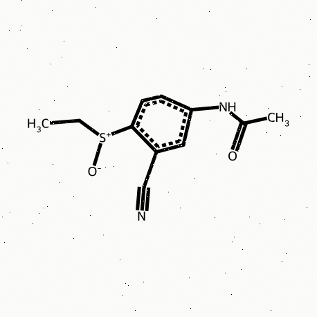 CC[S+]([O-])c1ccc(NC(C)=O)cc1C#N